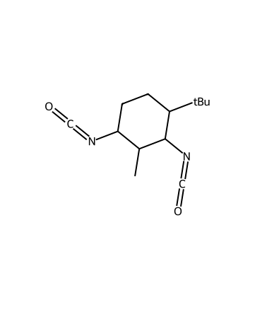 CC1C(N=C=O)CCC(C(C)(C)C)C1N=C=O